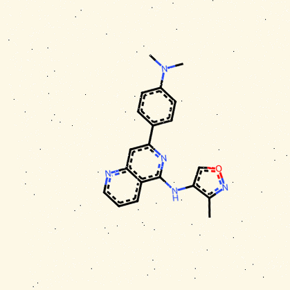 Cc1nocc1Nc1nc(-c2ccc(N(C)C)cc2)cc2ncccc12